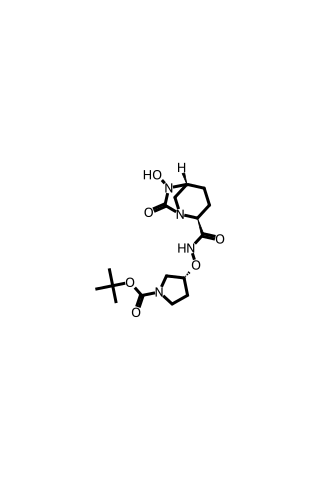 CC(C)(C)OC(=O)N1CC[C@@H](ONC(=O)[C@@H]2CC[C@@H]3CN2C(=O)N3O)C1